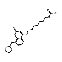 CCC(=O)OCCCCCCCOc1cc(=S)oc2c(SC3CCCC3)cccc12